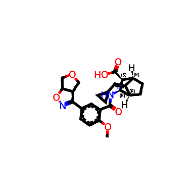 COc1ccc(C2=NOC3COCC23)cc1C(=O)N[C@H]1[C@@H](C(=O)O)[C@H]2CC[C@@H]1/C2=C\C1CC1